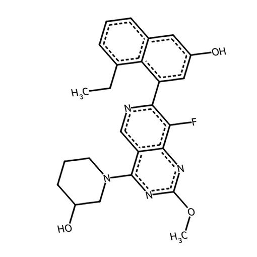 CCc1cccc2cc(O)cc(-c3ncc4c(N5CCCC(O)C5)nc(OC)nc4c3F)c12